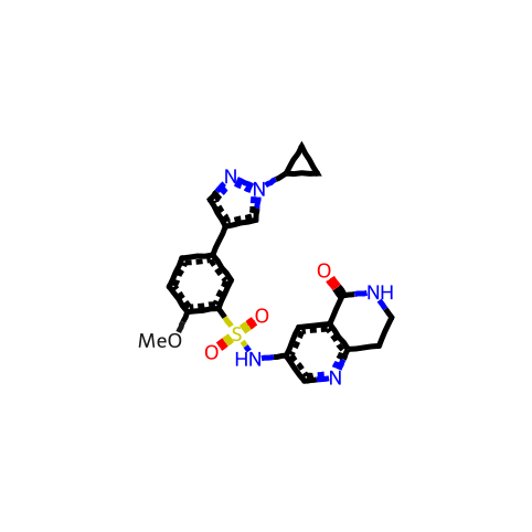 COc1ccc(-c2cnn(C3CC3)c2)cc1S(=O)(=O)Nc1cnc2c(c1)C(=O)NCC2